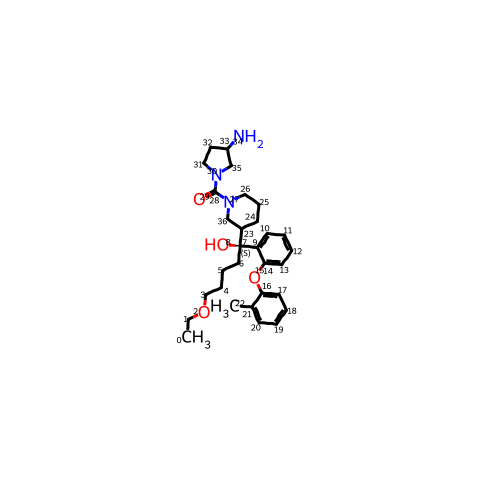 CCOCCCC[C@@](O)(c1ccccc1Oc1ccccc1C)C1CCCN(C(=O)N2CCC(N)C2)C1